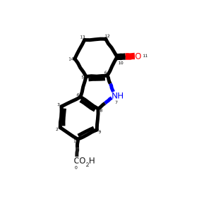 O=C(O)c1ccc2c3c([nH]c2c1)C(=O)CCC3